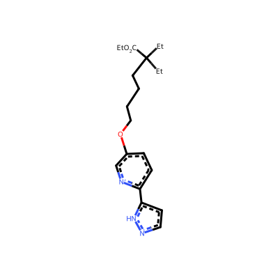 CCOC(=O)C(CC)(CC)CCCCOc1ccc(-c2ccn[nH]2)nc1